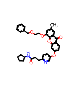 Cc1cc(OCCOCc2ccccc2)c2oc3cc(Oc4ccc(CCC(=O)NC5CCCC5)nc4)ccc3c(=O)c2c1